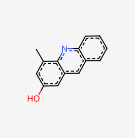 Cc1cc(O)cc2cc3ccccc3nc12